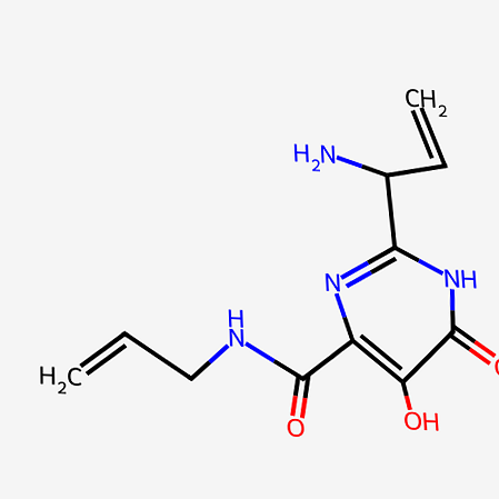 C=CCNC(=O)c1nc(C(N)C=C)[nH]c(=O)c1O